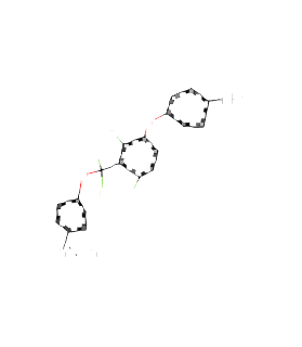 CCCCCCCCCc1ccc(OC(F)(F)c2c(F)c[c]c(Oc3ccc(CCC)cc3)c2F)cc1